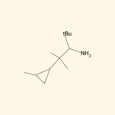 CC1CC1C(C)(C)C(N)C(C)(C)C